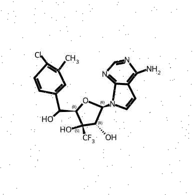 Cc1cc(C(O)[C@H]2O[C@@H](n3ccc4c(N)ncnc43)[C@H](O)[C@@]2(O)C(F)(F)F)ccc1Cl